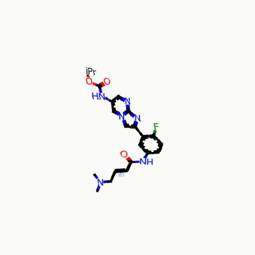 CC(C)OC(=O)Nc1cnc2nc(-c3cc(NC(=O)/C=C/CN(C)C)ccc3F)cn2c1